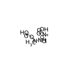 CN(CCNc1cc2c(=O)c(C(=O)O)cn(C3CC3)c2cc1Cl)CCOCCC(=O)O